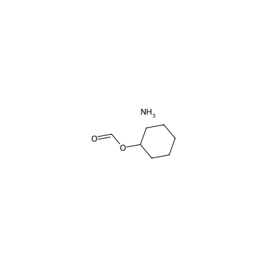 N.O=COC1CCCCC1